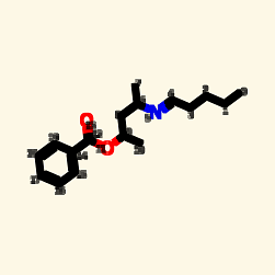 CCCCC=NC(C)CC(C)OC(=O)c1ccccc1